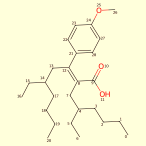 CCCCC(CC)CC(C(=O)O)=C(CC(CC)CCCC)c1ccc(OC)cc1